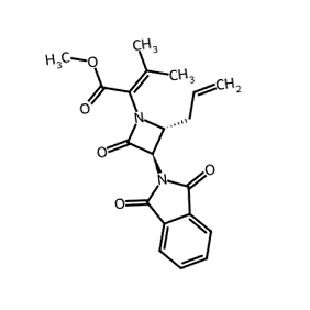 C=CC[C@@H]1[C@@H](N2C(=O)c3ccccc3C2=O)C(=O)N1C(C(=O)OC)=C(C)C